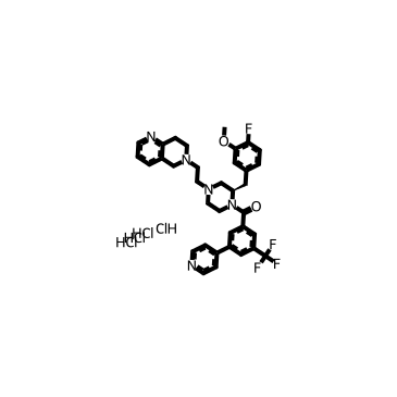 COc1cc(C[C@@H]2CN(CCN3CCc4ncccc4C3)CCN2C(=O)c2cc(-c3ccncc3)cc(C(F)(F)F)c2)ccc1F.Cl.Cl.Cl.Cl